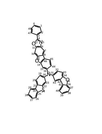 c1ccc(-c2nc3cc4c(cc3o2)oc2cc(N(c3ccc5c(c3)sc3ccccc35)c3ccc5oc6ccccc6c5c3)ccc24)cc1